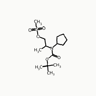 CC(COS(C)(=O)=O)N(C(=O)OC(C)(C)C)C1CCCC1